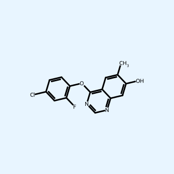 Cc1cc2c(Oc3ccc(Cl)cc3F)ncnc2cc1O